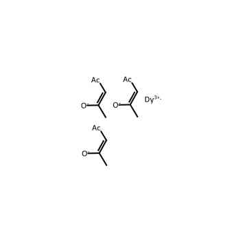 CC(=O)/C=C(/C)[O-].CC(=O)/C=C(/C)[O-].CC(=O)/C=C(/C)[O-].[Dy+3]